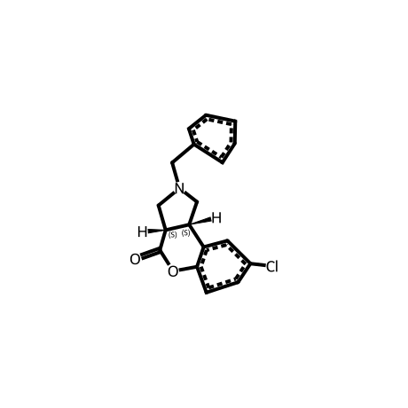 O=C1Oc2ccc(Cl)cc2[C@H]2CN(Cc3ccccc3)C[C@@H]12